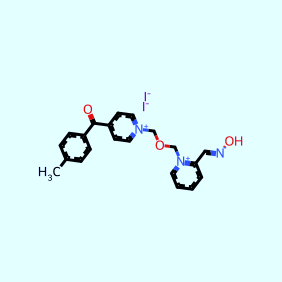 Cc1ccc(C(=O)c2cc[n+](COC[n+]3ccccc3C=NO)cc2)cc1.[I-].[I-]